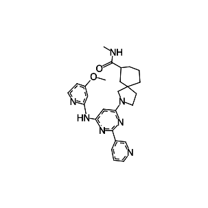 CNC(=O)C1CCCC2(CCN(c3cc(Nc4cc(OC)ccn4)nc(-c4cccnc4)n3)C2)C1